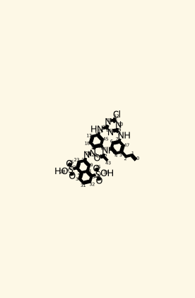 C=CCc1cccc(Nc2nc(Cl)nc(Nc3ccc(N=Nc4cc(S(=O)(=O)O)c5cccc(S(=O)(=O)O)c5c4)c(NC(C)=O)c3)n2)c1